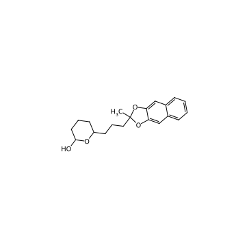 CC1(CCCC2CCCC(O)O2)Oc2cc3ccccc3cc2O1